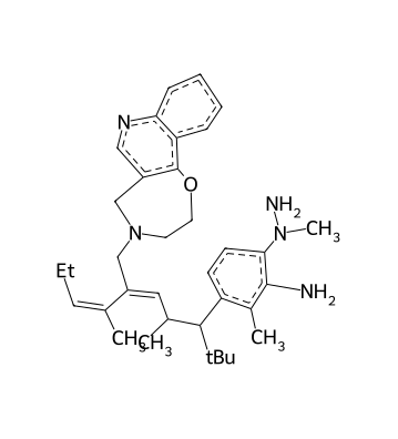 CC/C=C(C)\C(=C/C(C)C(c1ccc(N(C)N)c(N)c1C)C(C)(C)C)CN1CCOc2c(cnc3ccccc23)C1